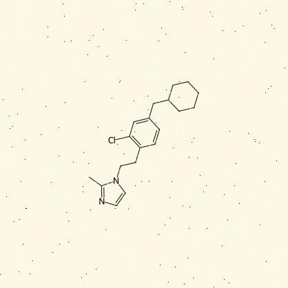 Cc1nccn1CCc1ccc(CC2CCCCC2)cc1Cl